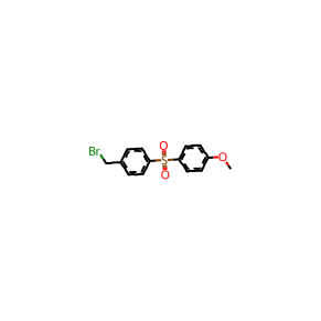 COc1ccc(S(=O)(=O)c2ccc(CBr)cc2)cc1